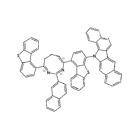 C1=C(c2ccc(-n3c4cc5ccccc5cc4c4ccc5ccccc5c43)c3sc4ccccc4c23)/N=C(c2ccc3ccccc3c2)\N=C(\c2cccc3sc4ccccc4c23)CC\1